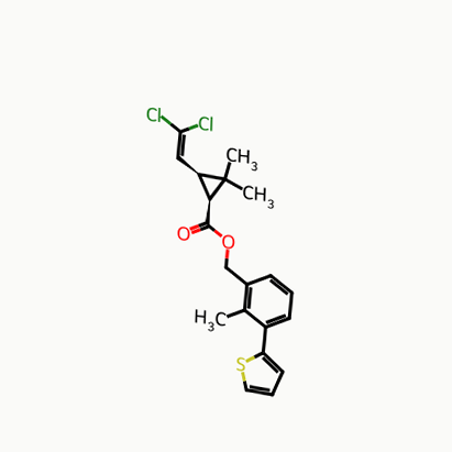 Cc1c(COC(=O)[C@H]2[C@@H](C=C(Cl)Cl)C2(C)C)cccc1-c1cccs1